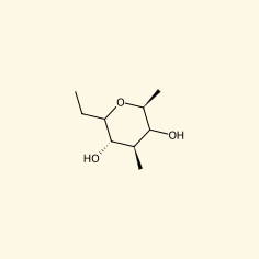 CCC1O[C@@H](C)C(O)[C@@H](C)[C@@H]1O